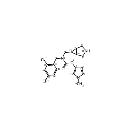 Cn1cnc(OC(=O)N(Cc2ccc(Cl)cc2Cl)CC2C3CNCC32)c1